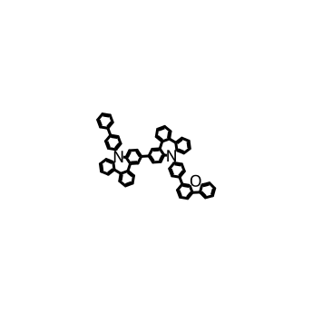 c1ccc(-c2ccc(N3c4ccccc4-c4ccccc4-c4cc(-c5ccc6c(c5)-c5ccccc5-c5ccccc5N6c5ccc(-c6cccc7c6oc6ccccc67)cc5)ccc43)cc2)cc1